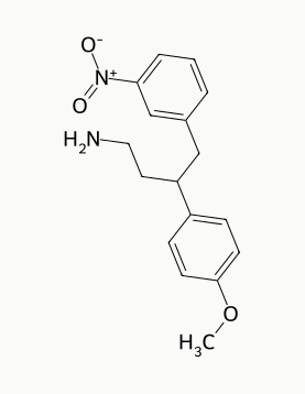 COc1ccc(C(CCN)Cc2cccc([N+](=O)[O-])c2)cc1